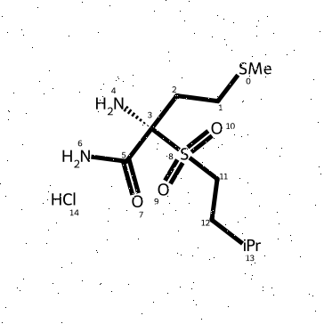 CSCC[C@](N)(C(N)=O)S(=O)(=O)CCC(C)C.Cl